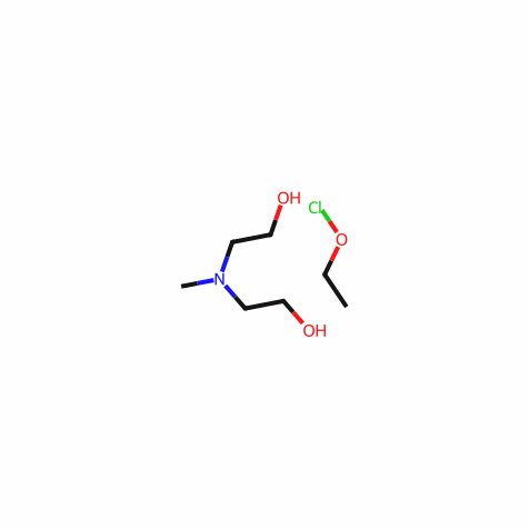 CCOCl.CN(CCO)CCO